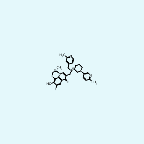 Cc1ccc(N2CCC[C@H](N(Cc3ccnc(C)c3)Cc3cn4c5c(c(O)c(F)cc5c3=O)OC[C@@H]4C)C2)cn1